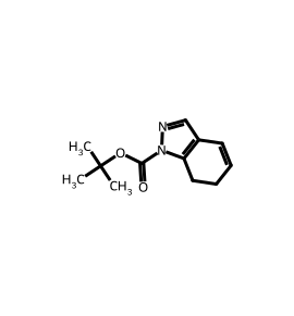 CC(C)(C)OC(=O)n1ncc2c1CCC=C2